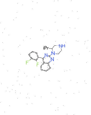 CC(C)C1CNCCN1c1nc(-c2cccc(F)c2F)c2ccccc2n1